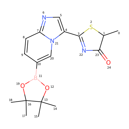 CC1SC(c2cnc3ccc(B4OC(C)(C)C(C)(C)O4)cn23)=NC1=O